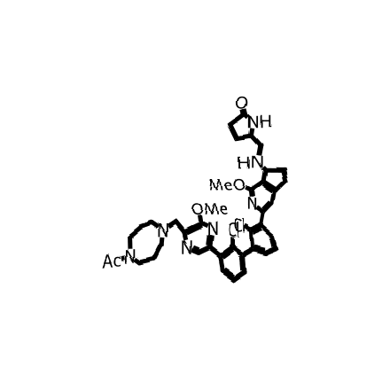 COc1nc(-c2cccc(-c3cccc(-c4cc5c(c(OC)n4)C(NCC4CCC(=O)N4)CC5)c3Cl)c2Cl)cnc1CN1CCCN(C(C)=O)CCC1